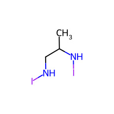 CC(CNI)NI